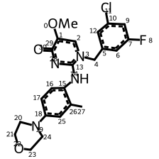 COc1cn(Cc2cc(F)cc(Cl)c2)c(Nc2ccc(N3CCOCC3)cc2C)nc1=O